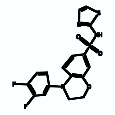 O=S(=O)(Nc1nccs1)c1ccc2c(c1)OCCN2c1ccc(F)c(F)c1